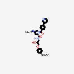 CO/N=C1\C[C@@H](C(=O)NC[C@H](O)COc2ccc(NC(C)=O)cc2)N(C(=O)c2ccc(-c3cccnc3)cc2)C1